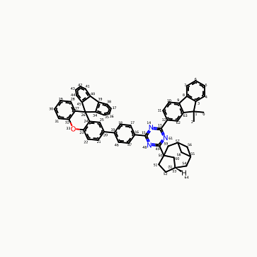 CC1(C)c2ccccc2-c2ccc(-c3nc(-c4ccc(-c5ccc6c(c5)C5(c7ccccc7O6)c6ccccc6-c6ccccc65)cc4)nc(C45CC[C@@H](CC6CC(C6)C4)C5)n3)cc21